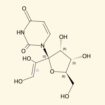 O=c1ccn([C@]2(/C(O)=C/O)O[C@H](CO)[C@@H](O)[C@H]2O)c(=O)[nH]1